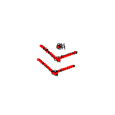 CCCCCCCCCCCCCCCCCCOC(CN(C)C)OCCCCCCCCCCCCCCCCCC.CCCCCCCCCCCCCCCCCCOC(CN(C)C)OCCCCCCCCCCCCCCCCCC.O=S(=O)(O)O